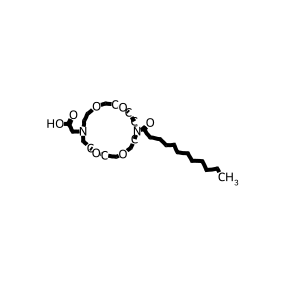 CCCCCCCCCCCC(=O)N1CCOCCOCCN(CC(=O)O)CCOCCOCC1